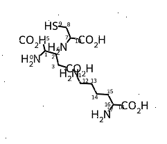 NC(CCC(=O)O)C(=O)O.NC(CS)C(=O)O.NCCCCC(N)C(=O)O